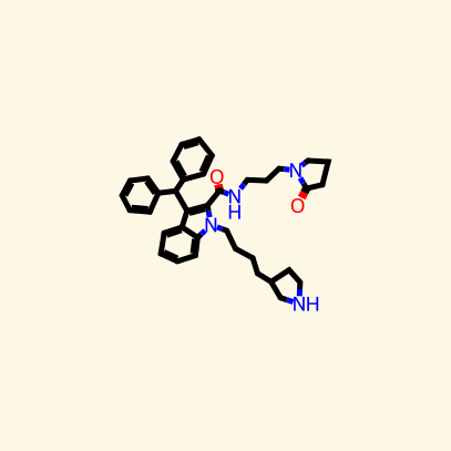 O=C(NCCCN1CCCC1=O)c1c(C(c2ccccc2)c2ccccc2)c2ccccc2n1CCCCC1CCNC1